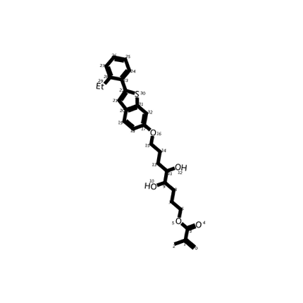 C=C(C)C(=O)OCCCC(O)C(O)CCCOc1ccc2cc(-c3ccccc3CC)sc2c1